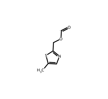 Cc1cnc(CO[C]=O)s1